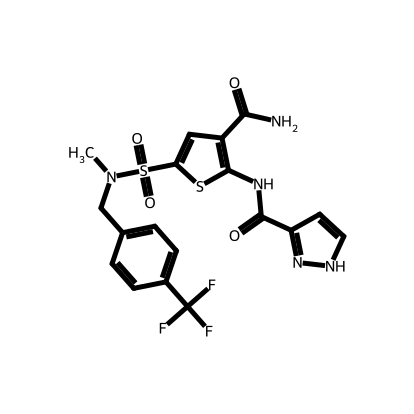 CN(Cc1ccc(C(F)(F)F)cc1)S(=O)(=O)c1cc(C(N)=O)c(NC(=O)c2cc[nH]n2)s1